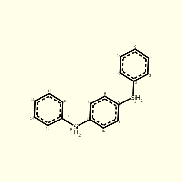 c1ccc([SiH2]c2ccc([SiH2]c3ccccc3)cc2)cc1